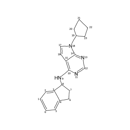 c1ccc2c(c1)CCC2Nc1ncnc2c1ccn2C1CCCC1